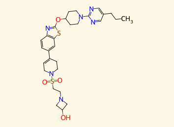 CCCc1cnc(N2CCC(Oc3nc4ccc(C5=CCN(S(=O)(=O)CCN6CC(O)C6)CC5)cc4s3)CC2)nc1